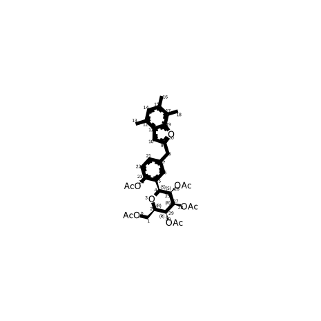 CC(=O)OC[C@H]1O[C@@H](c2cc(Cc3cc4c(C)cc(C)c(C)c4o3)ccc2OC(C)=O)[C@H](OC(C)=O)[C@@H](OC(C)=O)[C@@H]1OC(C)=O